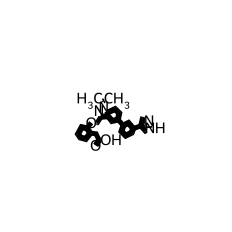 CC(C)n1nc(COc2ccccc2CC(=O)O)c2cc(-c3cccc(-c4cn[nH]c4)c3)ccc21